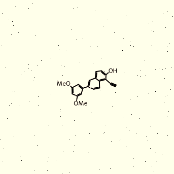 C#Cc1c(O)ccc2cc(-c3cc(OC)cc(OC)c3)ccc12